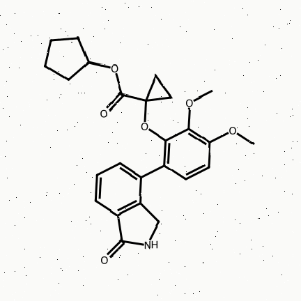 COc1ccc(-c2cccc3c2CNC3=O)c(OC2(C(=O)OC3CCCC3)CC2)c1OC